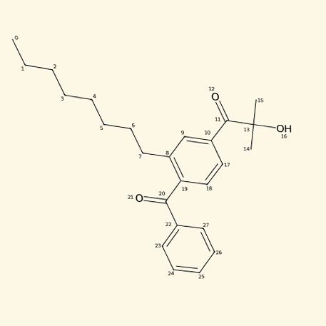 CCCCCCCCc1cc(C(=O)C(C)(C)O)ccc1C(=O)c1ccccc1